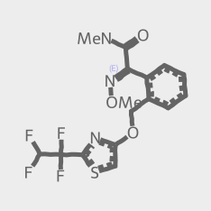 CNC(=O)/C(=N/OC)c1ccccc1COc1csc(C(F)(F)C(F)F)n1